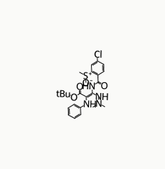 CN(C)N/C(NC(=O)c1ccc(Cl)cc1[S+](C)[O-])=C(\Nc1ccccc1)C(=O)OC(C)(C)C